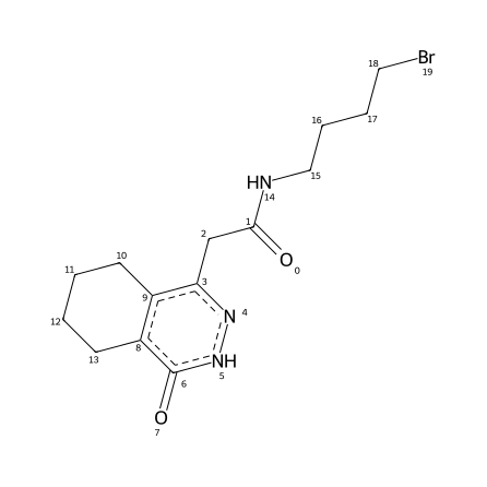 O=C(Cc1n[nH]c(=O)c2c1CCCC2)NCCCCBr